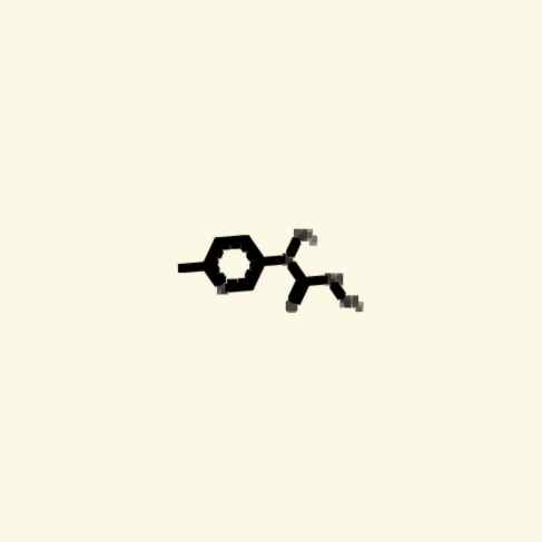 Cc1ccc(N(N)C(=O)NN)cn1